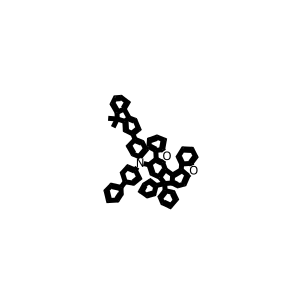 CC1(C)c2ccccc2-c2ccc(-c3ccc(N(C4=CCC(c5ccccc5)C=C4)c4cc5c(c6oc7ccccc7c46)-c4c(ccc6oc7ccccc7c46)C5(c4ccccc4)c4ccccc4)cc3)cc21